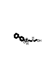 O=S(=O)(NCCNCCO)c1ccc(-c2ccccc2)cc1